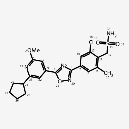 COc1cc(-c2nc(-c3cc(C)c(CS(N)(=O)=O)c(Cl)c3)no2)cc(C2CCCC2)n1